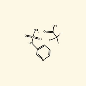 NS(=O)(=O)Nc1cccnc1.O=C(O)C(F)(F)F